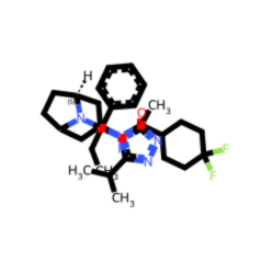 CCC(NC(=O)C1CCC(F)(F)CC1)(c1ccccc1)N1C2CC[C@H]1CC(n1c(C)nnc1C(C)C)C2